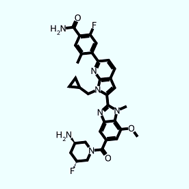 COc1cc(C(=O)N2C[C@H](N)C[C@@H](F)C2)cc2nc(-c3cc4ccc(-c5cc(F)c(C(N)=O)cc5C)nc4n3CC3CC3)n(C)c12